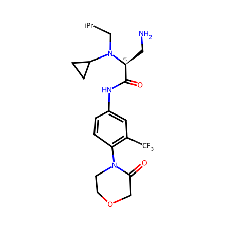 CC(C)CN(C1CC1)[C@@H](CN)C(=O)Nc1ccc(N2CCOCC2=O)c(C(F)(F)F)c1